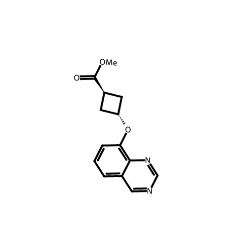 COC(=O)[C@H]1C[C@H](Oc2cccc3cncnc23)C1